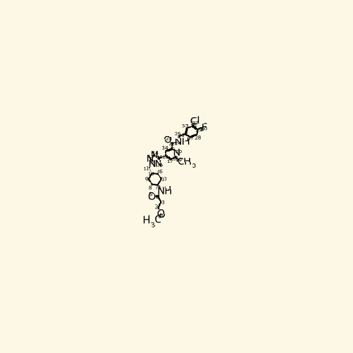 COCCC(=O)N[C@H]1CC[C@H](Cn2nnc(-c3cc(C)nc(C(=O)NCc4ccc(F)c(Cl)c4)c3)n2)CC1